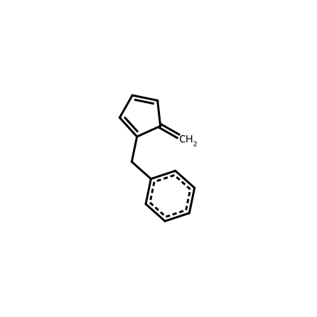 C=C1C=CC=C1Cc1ccccc1